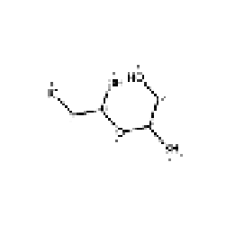 BC(CO)OC(O)CO